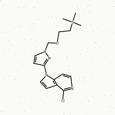 CS(C)(C)CCOCn1ccc(-n2ccc3c(Cl)nccc32)n1